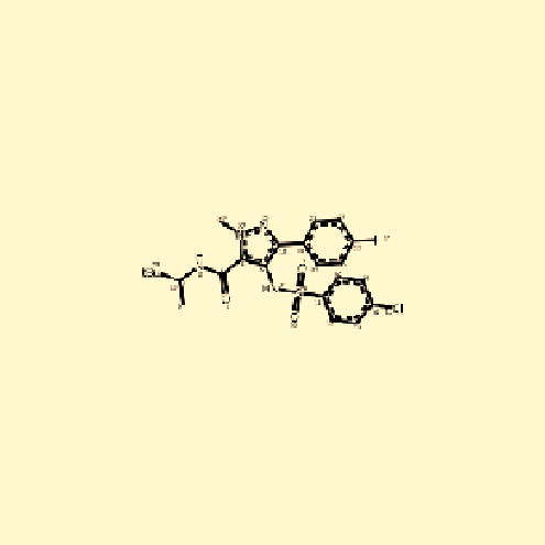 C[C@H](NC(=O)c1c(NS(=O)(=O)c2ccc(Cl)cc2)c(-c2ccc(F)cc2)nn1C)C(C)(C)C